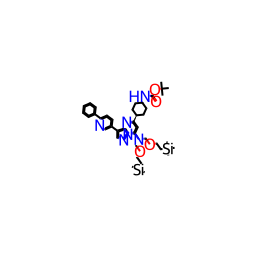 CC(C)(C)OC(=O)N[C@H]1CC[C@@H](c2cc(N(COCC[Si](C)(C)C)COCC[Si](C)(C)C)n3ncc(-c4ccc(-c5ccccc5)nc4)c3n2)CC1